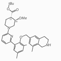 CO[C@H]1CN(c2cccc(-c3cc(C)cc(C)c3OCc3cc(C)c4c(c3)CCNC4)n2)CC[C@@H]1C(=O)OC(C)(C)C